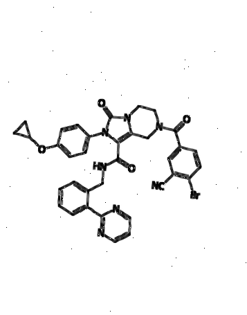 N#Cc1cc(C(=O)N2CCn3c(c(C(=O)NCc4ccccc4-c4ncccn4)n(-c4ccc(OC5CC5)cc4)c3=O)C2)ccc1Br